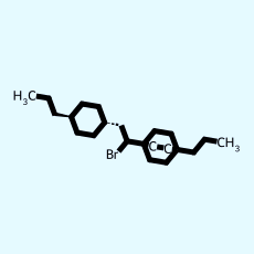 CCCC12CCC(C(Br)C[C@H]3CC[C@H](CCC)CC3)(CC1)CC2